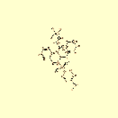 COc1ccc(S(=O)(=O)N(Cc2ccccc2)C(CC(=O)NOC(C)(C)C)CN2CCOCC2)cc1